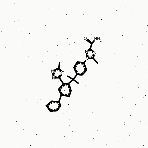 Cc1nnc(-c2cc(-c3ccccc3)ccc2C(C)(C)c2ccc(-n3nc(C(N)=O)nc3C)cc2)o1